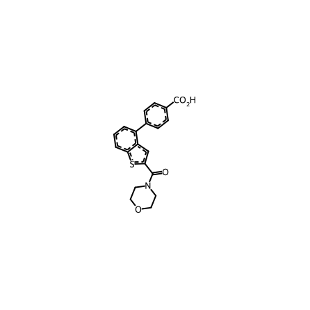 O=C(O)c1ccc(-c2cccc3sc(C(=O)N4CCOCC4)cc23)cc1